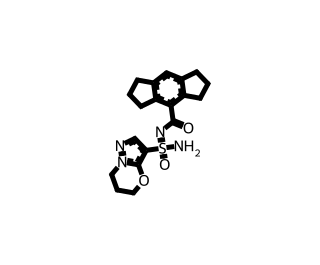 NS(=O)(=NC(=O)c1c2c(cc3c1CCC3)CCC2)c1cnn2c1OCCC2